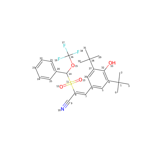 CC(C)(C)c1cc(C=C(C#N)S(=O)(=O)C(OC(F)(F)F)c2ccccc2)cc(C(C)(C)C)c1O